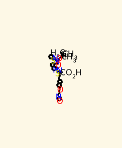 C[Si](C)(C)CCOCN(C(=O)c1cccc2c1CN(c1nc(C(=O)O)c(CCc3ccc4cc(OCCCN5CCOCC5)ccc4c3)s1)CC2)c1nc2ccccc2s1